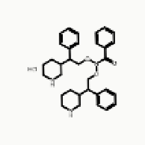 Cl.O=C(c1ccccc1)N(OCC(c1ccccc1)C1CCCNC1)OCC(c1ccccc1)C1CCCNC1